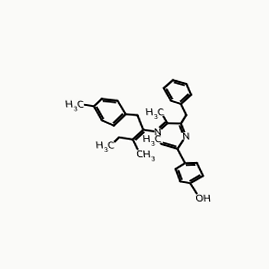 C\C=C(/N=C(Cc1ccccc1)\C(C)=N\C(Cc1ccc(C)cc1)=C(/C)CC)c1ccc(O)cc1